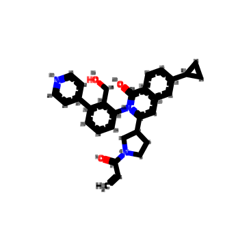 C=CC(=O)N1CCC(c2cc3cc(C4CC4)ccc3c(=O)n2-c2cccc(-c3ccncc3)c2CO)C1